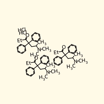 CCC(=O)C(CC(C)N(C)C)(c1ccccc1)c1ccccc1.CCC(=O)C(CC(C)N(C)C)(c1ccccc1)c1ccccc1.CCC(=O)C(CC(C)N(C)C)(c1ccccc1)c1ccccc1.Cl.Cl